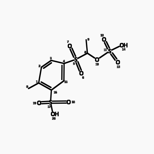 Cc1ccc(S(=O)(=O)C(C)OS(=O)(=O)O)cc1S(=O)(=O)O